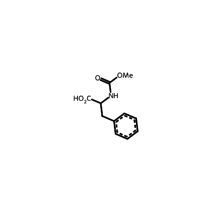 COC(=O)NC(Cc1ccccc1)C(=O)O